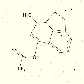 CC1C=C(OC(=O)C(F)(F)F)c2cccc3c2C1CC3